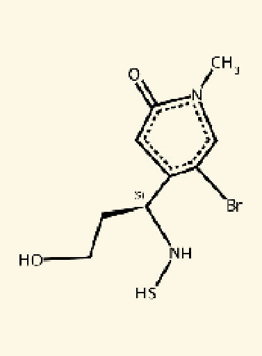 Cn1cc(Br)c([C@H](CCO)NS)cc1=O